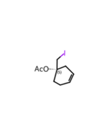 CC(=O)O[C@]1(CI)CC=CCC1